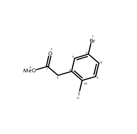 COC(=O)Cc1cc(Br)ccc1I